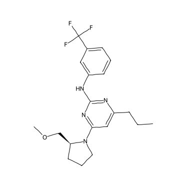 CCCc1cc(N2CCC[C@H]2COC)nc(Nc2cccc(C(F)(F)F)c2)n1